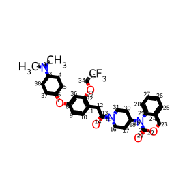 CN(C)C1CCC(Oc2ccc(CC(=O)N3CCC(N4C(=O)OCc5ccccc54)CC3)c(OCC(F)(F)F)c2)CC1